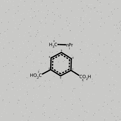 CCCC.O=C(O)c1cccc(C(=O)O)c1